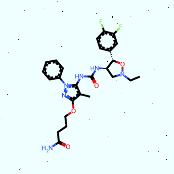 CCN1C[C@@H](NC(=O)Nc2c(C)c(OCCCC(N)=O)nn2-c2ccccc2)[C@H](c2ccc(F)c(F)c2)O1